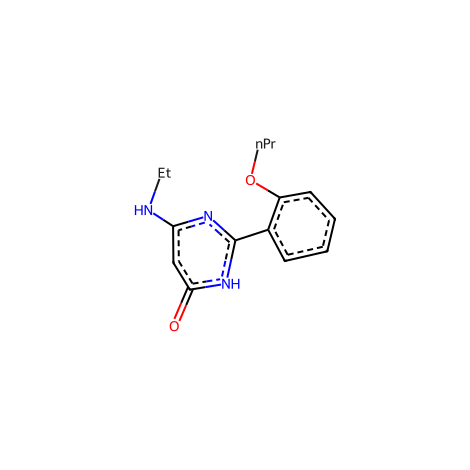 CCCOc1ccccc1-c1nc(NCC)cc(=O)[nH]1